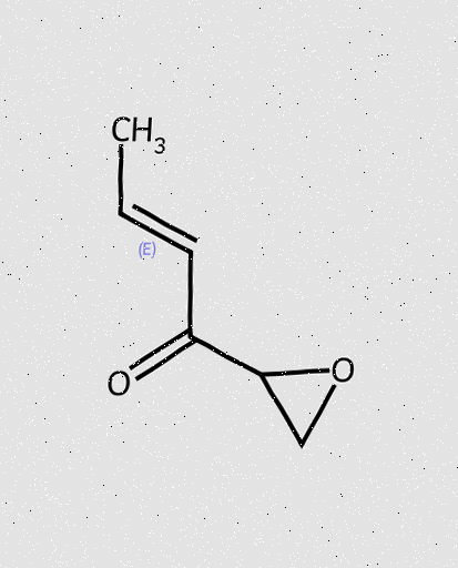 C/C=C/C(=O)C1CO1